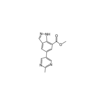 COC(=O)c1cc(-c2cnc(C)nc2)cc2cn[nH]c12